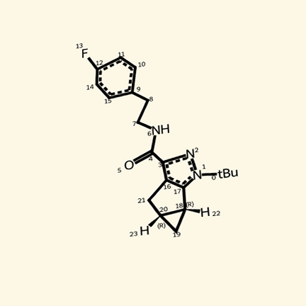 CC(C)(C)n1nc(C(=O)NCCc2ccc(F)cc2)c2c1[C@@H]1C[C@@H]1C2